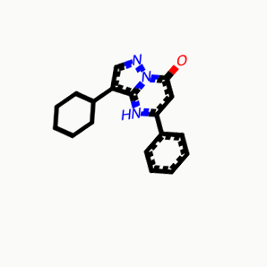 O=c1cc(-c2ccccc2)[nH]c2c(C3CCCCC3)cnn12